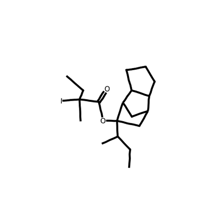 CCC(C)C1(OC(=O)C(C)(I)CC)CC2CC1C1CCCC21